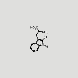 [2H]c1c(CC(N)C(=O)O)c2ccccc2n1[2H]